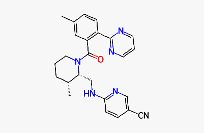 Cc1ccc(-c2ncccn2)c(C(=O)N2CCC[C@@H](C)[C@H]2CNc2ccc(C#N)cn2)c1